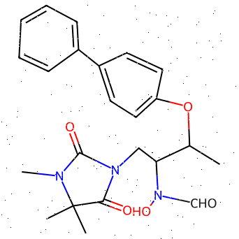 CC(Oc1ccc(-c2ccccc2)cc1)C(CN1C(=O)N(C)C(C)(C)C1=O)N(O)C=O